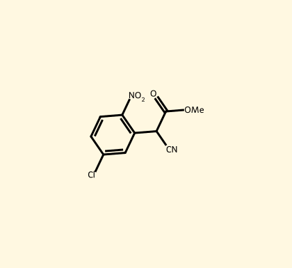 COC(=O)C(C#N)c1cc(Cl)ccc1[N+](=O)[O-]